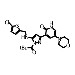 CC(C)(C)C(=O)n1nc(-c2cc(N3CCOCC3)c[nH]c2=O)cc1NCc1ccc(Cl)s1